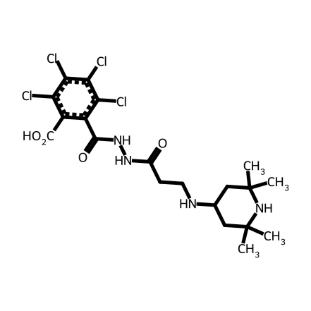 CC1(C)CC(NCCC(=O)NNC(=O)c2c(Cl)c(Cl)c(Cl)c(Cl)c2C(=O)O)CC(C)(C)N1